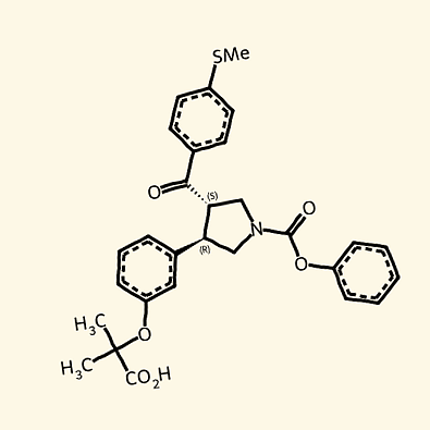 CSc1ccc(C(=O)[C@@H]2CN(C(=O)Oc3ccccc3)C[C@H]2c2cccc(OC(C)(C)C(=O)O)c2)cc1